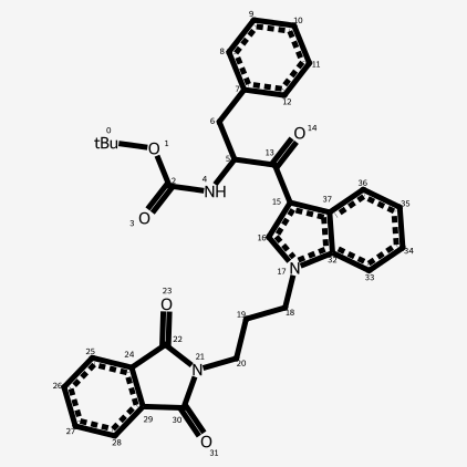 CC(C)(C)OC(=O)NC(Cc1ccccc1)C(=O)c1cn(CCCN2C(=O)c3ccccc3C2=O)c2ccccc12